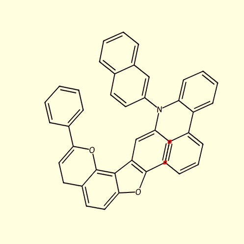 C1=C(c2ccccc2)Oc2c(ccc3oc4ccc(N(c5ccc6ccccc6c5)c5ccccc5-c5ccccc5)cc4c23)C1